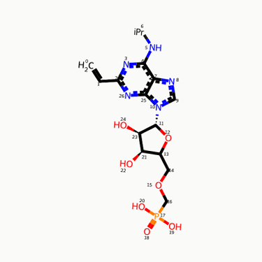 C=Cc1nc(NC(C)C)c2ncn([C@@H]3OC(COCP(=O)(O)O)[C@@H](O)[C@H]3O)c2n1